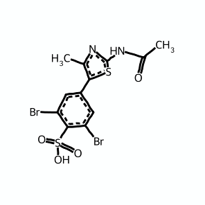 CC(=O)Nc1nc(C)c(-c2cc(Br)c(S(=O)(=O)O)c(Br)c2)s1